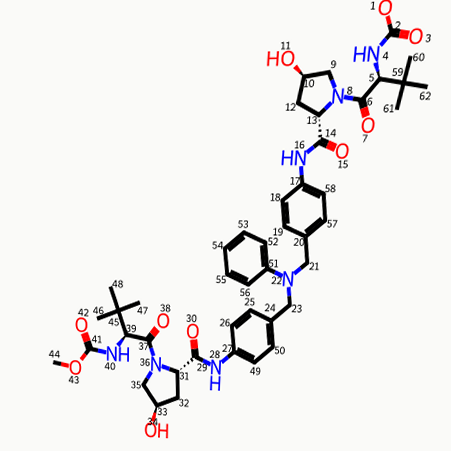 COC(=O)N[C@H](C(=O)N1C[C@H](O)C[C@H]1C(=O)Nc1ccc(CN(Cc2ccc(NC(=O)[C@@H]3C[C@@H](O)CN3C(=O)[C@@H](NC(=O)OC)C(C)(C)C)cc2)c2ccccc2)cc1)C(C)(C)C